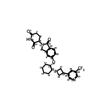 O=C1CCC(N2Cc3cc(O[C@H]4CCCC[C@H]4N4CC(c5cncc(C(F)(F)F)c5)C4)ccc3C2=O)C(=O)N1